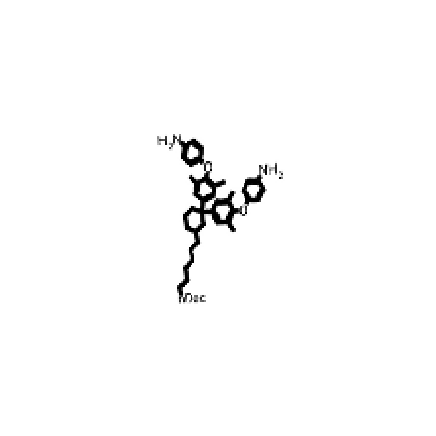 CCCCCCCCCCCCCCCCC1CCCC(c2cc(C)c(Oc3ccc(N)cc3)c(C)c2)(c2cc(C)c(Oc3ccc(N)cc3)c(C)c2)C1